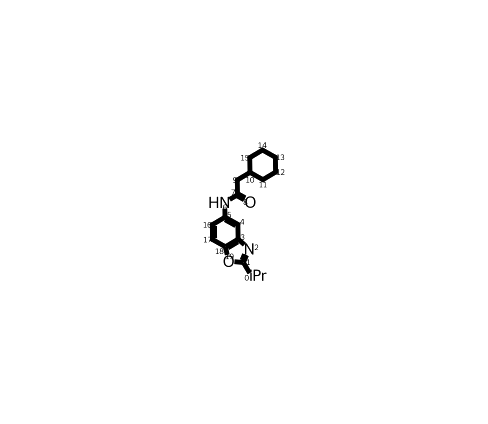 CC(C)c1nc2cc(NC(=O)CC3CCCCC3)ccc2o1